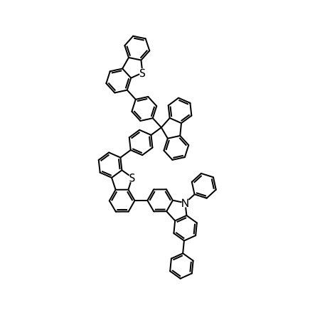 c1ccc(-c2ccc3c(c2)c2cc(-c4cccc5c4sc4c(-c6ccc(C7(c8ccc(-c9cccc%10c9sc9ccccc9%10)cc8)c8ccccc8-c8ccccc87)cc6)cccc45)ccc2n3-c2ccccc2)cc1